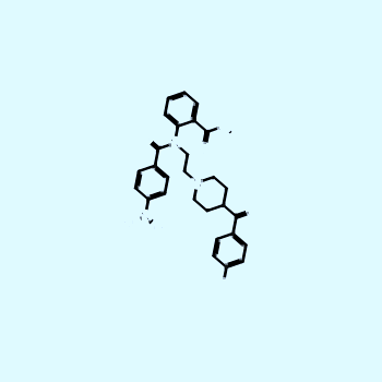 COC(=O)c1ccccc1N(CCN1CCC(C(=O)c2ccc(F)cc2)CC1)C(=O)c1ccc([N+](=O)[O-])cc1